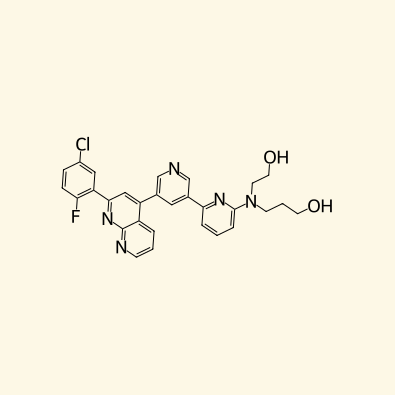 OCCCN(CCO)c1cccc(-c2cncc(-c3cc(-c4cc(Cl)ccc4F)nc4ncccc34)c2)n1